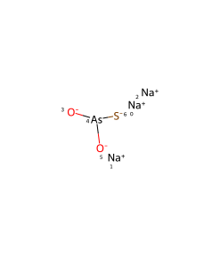 [Na+].[Na+].[Na+].[O-][As]([O-])[S-]